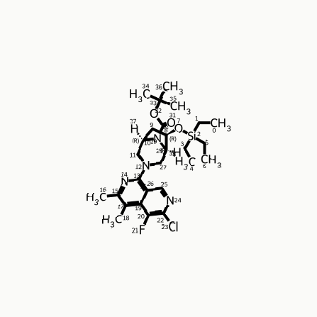 CC[Si](CC)(CC)O[C@@H]1C[C@@H]2CN(c3nc(C)c(C)c4c(F)c(Cl)ncc34)C[C@H]1N2C(=O)OC(C)(C)C